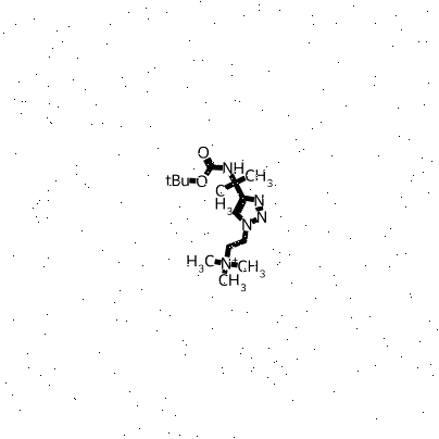 CC(C)(C)OC(=O)NC(C)(C)c1cn(CC[N+](C)(C)C)nn1